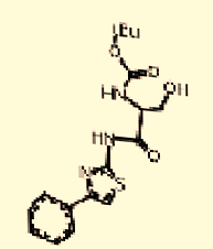 CC(C)(C)OC(=O)N[C@@H](CO)C(=O)Nc1nc(-c2ccccc2)cs1